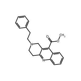 COC(=O)c1c2c(nc3ccccc13)CCN(CCc1ccccc1)C2